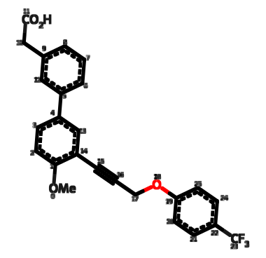 COc1ccc(-c2cccc(CC(=O)O)c2)cc1C#CCOc1ccc(C(F)(F)F)cc1